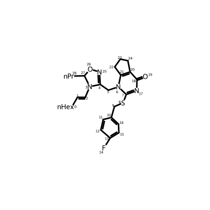 CCCCCCC=CN1C(Cn2c(SCc3ccc(F)cc3)nc(=O)c3c2CCC3)=NOC1CCC